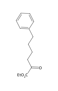 CCOC(=O)C(=O)CCCCc1ccccc1